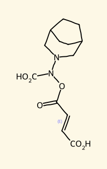 O=C(O)/C=C/C(=O)ON(C(=O)O)N1CC2CCC(CC2)C1